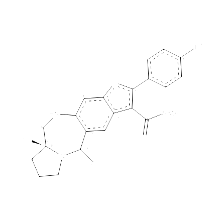 CNC(=O)c1c(-c2ccc(F)cc2)oc2cc3c(cc12)C(C)N1CCC[C@@H]1CN3